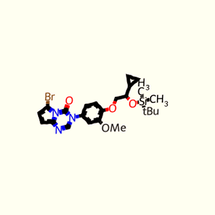 COc1cc(-n2cnc3ccc(Br)n3c2=O)ccc1OCC(O[Si](C)(C)C(C)(C)C)C1CC1